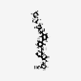 Cc1c(Nc2nccc3cc(CN4CC[C@@H](O)C4)cnc23)cccc1-c1cccc(-c2nc3c(o2)CN(C(=O)CN2CCCC2)C3)c1C